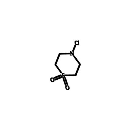 O=S1(=O)CCN(Cl)CC1